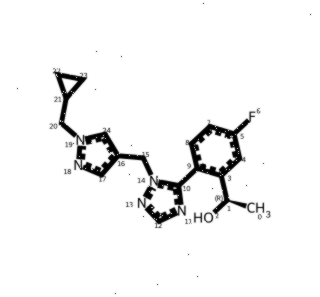 C[C@@H](O)c1cc(F)ccc1-c1ncnn1Cc1cnn(CC2CC2)c1